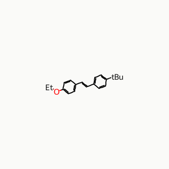 CCOc1ccc(C=Cc2ccc(C(C)(C)C)cc2)cc1